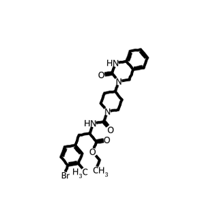 CCOC(=O)C(Cc1ccc(Br)c(C)c1)NC(=O)N1CCC(N2Cc3ccccc3NC2=O)CC1